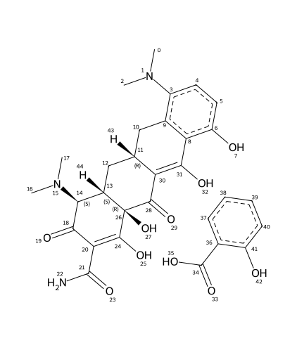 CN(C)c1ccc(O)c2c1C[C@H]1C[C@H]3[C@H](N(C)C)C(=O)C(C(N)=O)=C(O)[C@@]3(O)C(=O)C1=C2O.O=C(O)c1ccccc1O